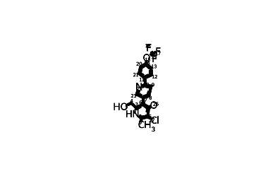 Cc1[nH]c(CO)c(-c2ccc(-c3ccc(OC(F)(F)F)cc3)nc2)c(=O)c1Cl